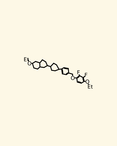 CCOc1ccc(OCc2ccc(C3CCC(C4CCC5CC(OCC)CCC5C4)CC3)cc2)c(F)c1F